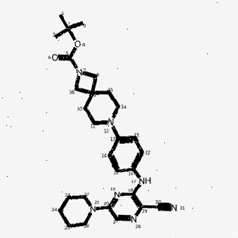 CC(C)(C)OC(=O)N1CC2(CCN(c3ccc(Nc4nc(N5CCCCC5)cnc4C#N)cc3)CC2)C1